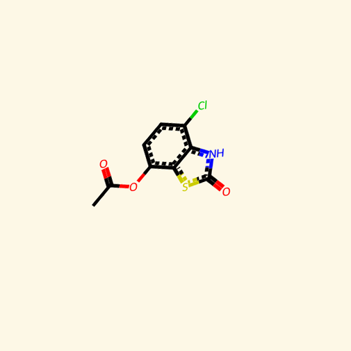 CC(=O)Oc1ccc(Cl)c2[nH]c(=O)sc12